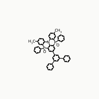 Cc1ccc2c(c1)P(=O)(c1ccccc1)c1cc(-c3cc(-c4ccccc4)cc(-c4ccccc4)c3)cc3c1N2c1ccc(C)cc1P3(=O)c1ccccc1